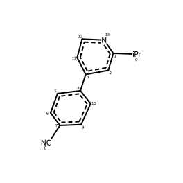 CC(C)c1cc(-c2ccc(C#N)cc2)ccn1